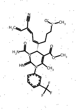 C=C/C(C#N)=C\C=C(/CCC[S+](C)[O-])[C@@H]1C(C(=O)OC)=C(C)N(c2cccc(C(F)(F)F)c2)C(=N)N1C(N)=O